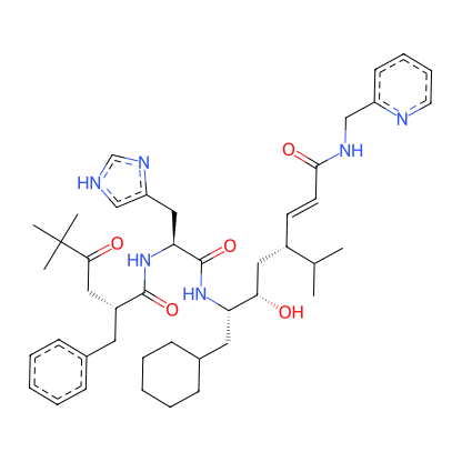 CC(C)[C@@H](/C=C/C(=O)NCc1ccccn1)C[C@H](O)[C@H](CC1CCCCC1)NC(=O)[C@H](Cc1c[nH]cn1)NC(=O)[C@@H](CC(=O)C(C)(C)C)Cc1ccccc1